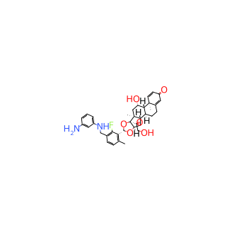 Cc1ccc(CNc2cccc(N)c2)c(F)c1[C@H]1O[C@@H]2C[C@H]3[C@@H]4CCC5=CC(=O)C=C[C@]5(C)[C@H]4[C@@H](O)C[C@]3(C)[C@]2(C(=O)CO)O1